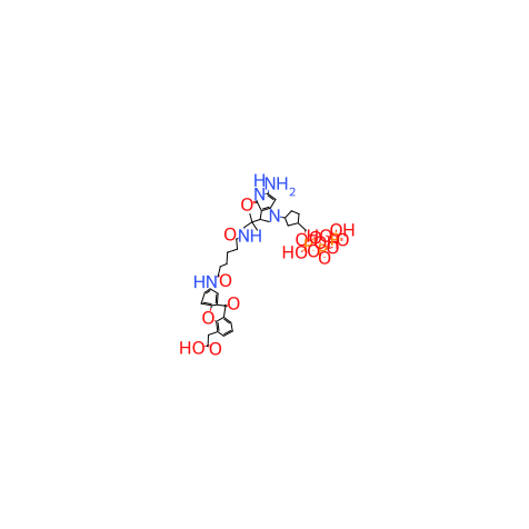 CC(C)(CNC(=O)CCCCC(=O)Nc1ccc2oc3c(CC(=O)O)cccc3c(=O)c2c1)C1CN(C2CCC(COP(=O)(O)OP(=O)(O)OP(=O)(O)O)C2)c2cc(N)[nH]c(=O)c21